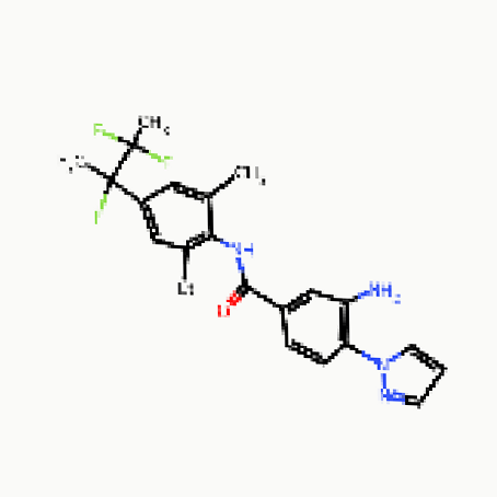 CCc1cc(C(F)(C(C)(F)F)C(F)(F)F)cc(C)c1NC(=O)c1ccc(-n2cccn2)c(N)c1